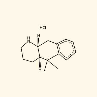 CC1(C)c2ccccc2C[C@H]2NCCC[C@H]21.Cl